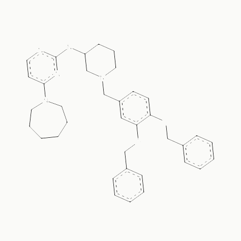 c1ccc(COc2ccc(CN3CCCC(Nc4nccc(N5CCCCCC5)n4)C3)cc2OCc2ccccc2)cc1